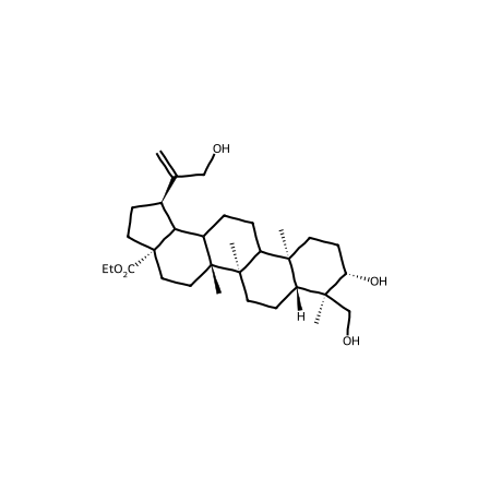 C=C(CO)[C@@H]1CC[C@]2(C(=O)OCC)CC[C@]3(C)C(CCC4[C@@]5(C)CC[C@H](O)[C@@](C)(CO)[C@@H]5CC[C@]43C)C12